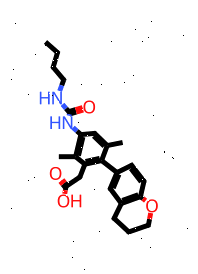 CCCCNC(=O)Nc1cc(C)c(-c2ccc3c(c2)CCCO3)c(CC(=O)O)c1C